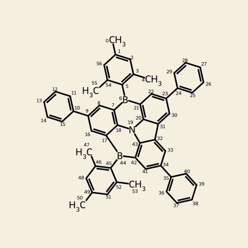 Cc1cc(C)c(B2c3cc(-c4ccccc4)cc4c3-n3c5c2cc(-c2ccccc2)cc5c2cc(-c5ccccc5)cc(c23)B4c2c(C)cc(C)cc2C)c(C)c1